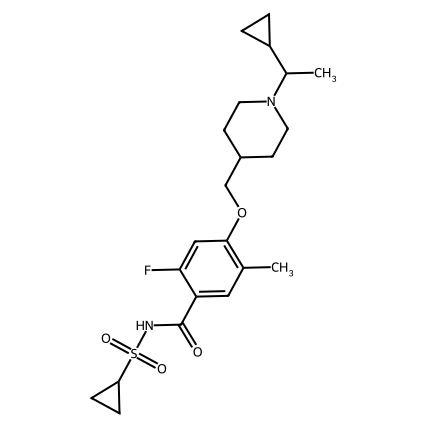 Cc1cc(C(=O)NS(=O)(=O)C2CC2)c(F)cc1OCC1CCN(C(C)C2CC2)CC1